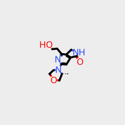 C[C@@H]1COCCN1c1cc2c(c(CCO)n1)CNC2=O